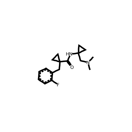 CN(C)CC1(NC(=O)C2(Cc3ccccc3F)CC2)CC1